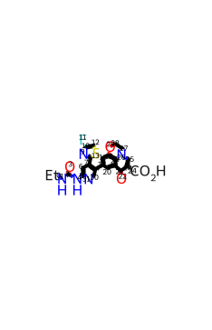 CCNC(=O)Nc1cc(-c2nc(F)cs2)c(-c2cc3c4c(c2)c(=O)c(C(=O)O)cn4CCO3)cn1